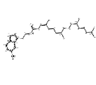 CC(=CCC(=O)NCCc1c[nH]c2ccc(O)cc12)CCCC(C)CCCC(C)CCCC(C)C